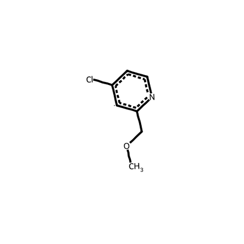 COCc1[c]c(Cl)ccn1